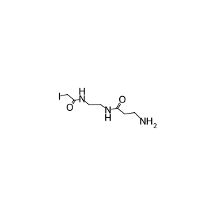 NCCC(=O)NCCNC(=O)CI